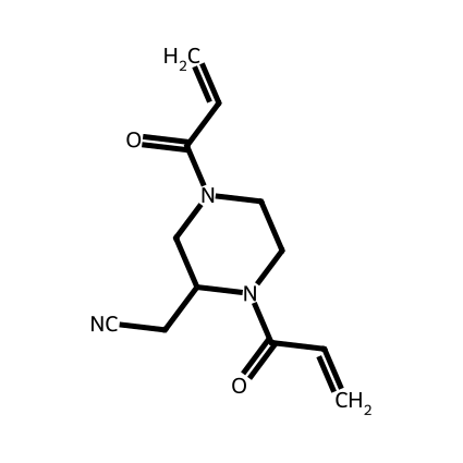 C=CC(=O)N1CCN(C(=O)C=C)C(CC#N)C1